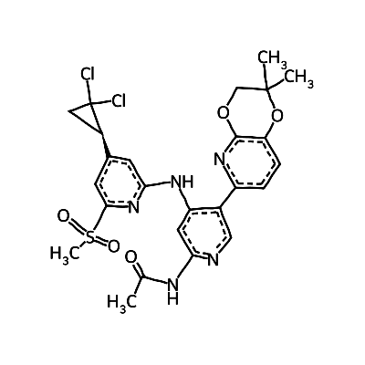 CC(=O)Nc1cc(Nc2cc([C@H]3CC3(Cl)Cl)cc(S(C)(=O)=O)n2)c(-c2ccc3c(n2)OCC(C)(C)O3)cn1